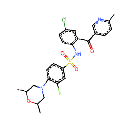 Cc1ccc(C(=O)c2cc(Cl)ccc2NS(=O)(=O)c2ccc(N3CC(C)OC(C)C3)c(F)c2)cn1